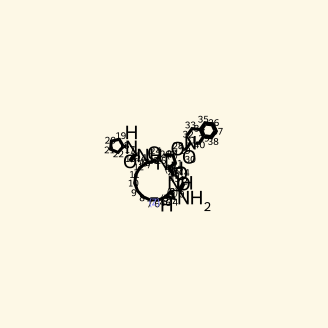 NC(=O)[C@@]12C[C@H]1/C=C\CCCCC[C@H](NC(=O)NC1CCCC1)C(=O)N1C[C@H](OC(=O)N3CCc4ccccc4C3)C[C@H]1C(=O)N2